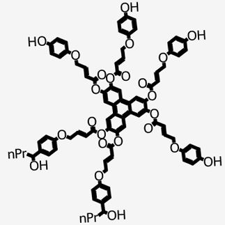 CCCC(O)c1ccc(OC/C=C/C(=O)Oc2cc3c4cc(OC(=O)/C=C/COc5ccc(O)cc5)c(OC(=O)/C=C/COc5ccc(O)cc5)cc4c4cc(OC(=O)/C=C/COc5ccc(O)cc5)c(OC(=O)/C=C/COc5ccc(O)cc5)cc4c3cc2OC(=O)/C=C/COc2ccc(C(O)CCC)cc2)cc1